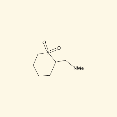 CNCC1CCCCS1(=O)=O